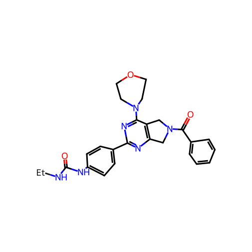 CCNC(=O)Nc1ccc(-c2nc3c(c(N4CCOCC4)n2)CN(C(=O)c2ccccc2)C3)cc1